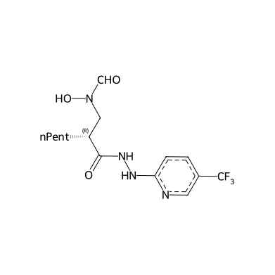 CCCCC[C@H](CN(O)C=O)C(=O)NNc1ccc(C(F)(F)F)cn1